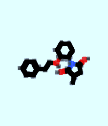 CC1CC(=O)N([C@H]2CCCC[C@@H]2OCCc2ccccc2)C1=O